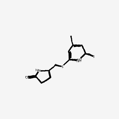 CC1=CC(I)NC(SCC2CCC(=O)N2)=C1